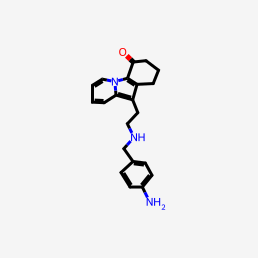 Nc1ccc(CNCCc2c3c(n4ccccc24)C(=O)CCC3)cc1